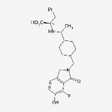 CC(C)C[C@@H](NC(C)C1CCC(CN2Cc3ccc(O)c(F)c3C2=O)CC1)C(=O)O